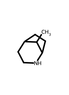 CC1C2CCNC1CC2